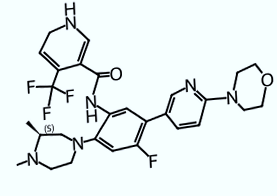 C[C@H]1CN(c2cc(F)c(-c3ccc(N4CCOCC4)nc3)cc2NC(=O)C2=CNCC=C2C(F)(F)F)CCN1C